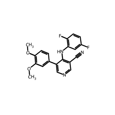 COc1ccc(-c2cncc(C#N)c2Nc2cc(F)ccc2F)cc1OC